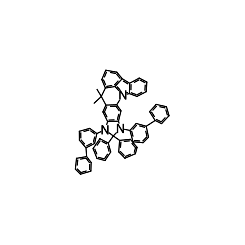 CC1(C)c2cc3c(cc2-n2c4ccccc4c4cccc1c42)N(c1cccc(-c2ccccc2)c1)C(c1ccccc1)(c1ccccc1)N3c1cccc(-c2ccccc2)c1